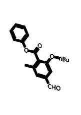 CCCCOc1cc(C=O)cc(C)c1C(=O)Oc1ccccc1